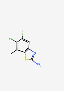 Cc1c(Cl)c(F)cc2nc(N)sc12